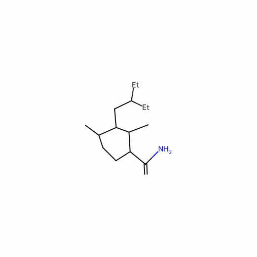 C=C(N)C1CCC(C)C(CC(CC)CC)C1C